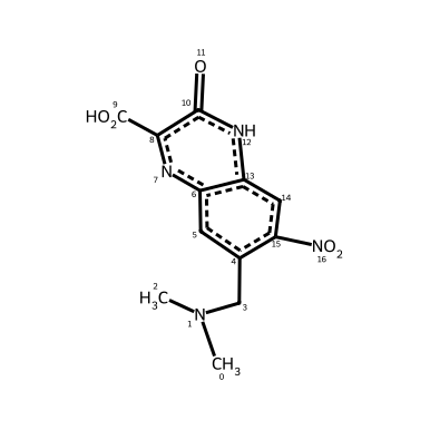 CN(C)Cc1cc2nc(C(=O)O)c(=O)[nH]c2cc1[N+](=O)[O-]